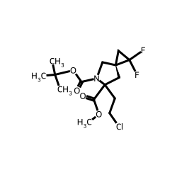 COC(=O)C1(CCCl)C[C@@]2(CN1C(=O)OC(C)(C)C)CC2(F)F